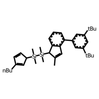 CCCCC1=CC([Si](C)(C)[Si](C)(C)C2C(C)=Cc3c(-c4cc(C(C)(C)C)cc(C(C)(C)C)c4)cccc32)C=C1